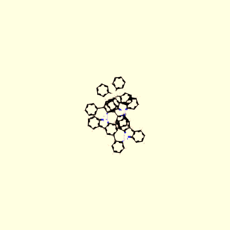 c1ccc(-c2cc([Si](c3ccccc3)(c3ccccc3)c3ccccc3)cc(-c3ccccc3)c2-n2c3ccccc3c3cc(-c4ccccc4-n4c5ccccc5c5cc(-n6c7ccccc7c7ccccc76)ccc54)ccc32)cc1